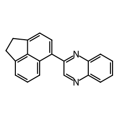 c1ccc2nc(-c3ccc4c5c(cccc35)CC4)cnc2c1